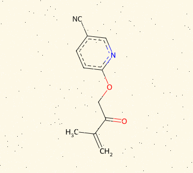 C=C(C)C(=O)COc1ccc(C#N)cn1